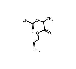 C=CCOC(=O)C(C)OC(=O)CC